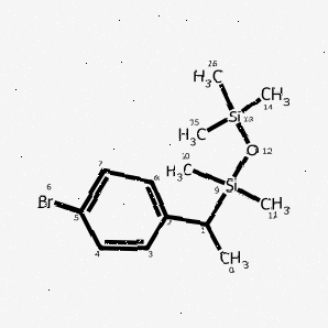 CC(c1ccc(Br)cc1)[Si](C)(C)O[Si](C)(C)C